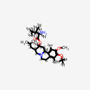 [2H]c1c2c(c([2H])c(OC)c1OC([2H])([2H])[2H])C1([2H])CC([2H])(OC(=O)[C@@]([2H])(N)C([2H])(C([2H])([2H])[2H])C([2H])([2H])[2H])C(CC(C)C)CN1CC2